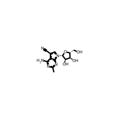 Cc1nc(N)c2c(C#N)cn([C@@H]3O[C@H](CO)[C@@H](O)[C@H]3O)c2n1